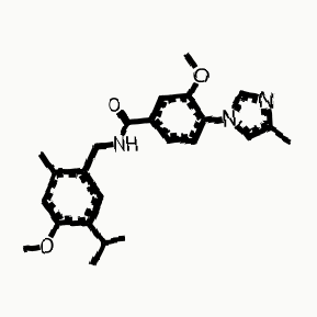 COc1cc(C)c(CNC(=O)c2ccc(-n3cnc(C)c3)c(OC)c2)cc1C(C)C